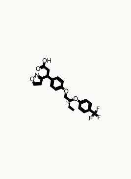 CC[C@@H](COc1ccc(C(CC(=O)O)c2ccon2)cc1)Oc1ccc(C(F)(F)F)cc1